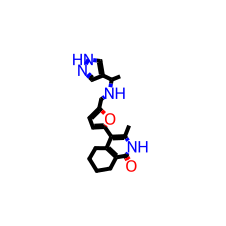 Cc1[nH]c(=O)c2c(c1-c1ccc(CNC(C)c3cn[nH]c3)o1)CCCC2